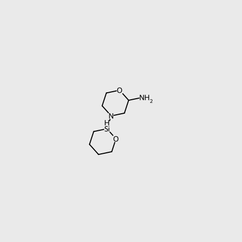 NC1CN([SiH]2CCCCO2)CCO1